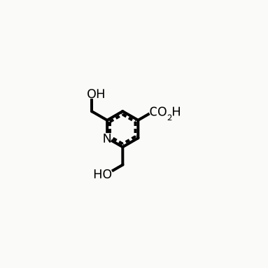 O=C(O)c1cc(CO)nc(CO)c1